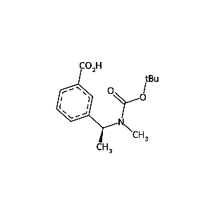 C[C@@H](c1cccc(C(=O)O)c1)N(C)C(=O)OC(C)(C)C